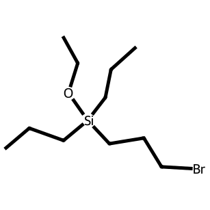 CCC[Si](CCC)(CCCBr)OCC